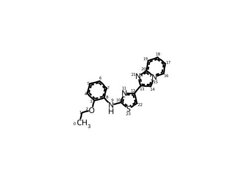 CCOc1ccccc1Nc1nc(-c2cn3ccccc3n2)cs1